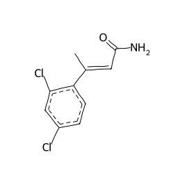 C/C(=C\C(N)=O)c1ccc(Cl)cc1Cl